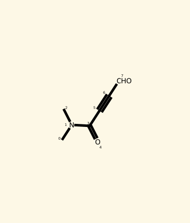 CN(C)C(=O)C#CC=O